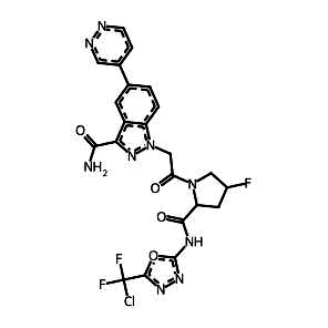 NC(=O)c1nn(CC(=O)N2CC(F)CC2C(=O)Nc2nnc(C(F)(F)Cl)o2)c2ccc(-c3ccnnc3)cc12